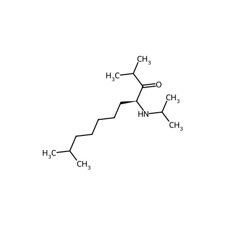 CC(C)CCCCC[C@H](NC(C)C)C(=O)C(C)C